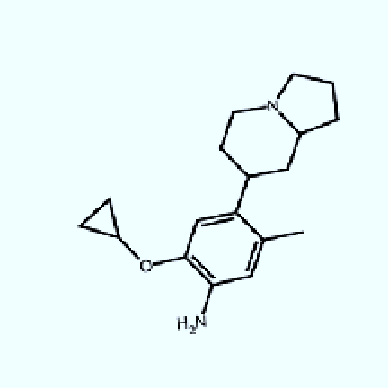 Cc1cc(N)c(OC2CC2)cc1C1CCN2CCCC2C1